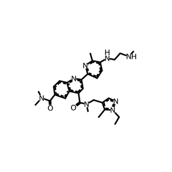 CCn1ncc(CN(C)C(=O)c2cc(-c3ccc(NCCNC)c(C)n3)nc3ccc(C(=O)N(C)C)cc23)c1C